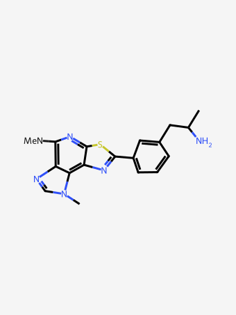 CNc1nc2sc(-c3cccc(CC(C)N)c3)nc2c2c1ncn2C